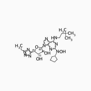 CCn1nnc([C@H]2O[C@@H](n3cnc4c(NCCC(C)(C)C)nc(N(O)C5CCCC5)nc43)[C@H](O)[C@@H]2O)n1